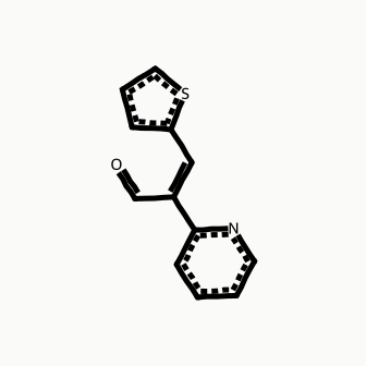 O=CC(=Cc1cccs1)c1ccccn1